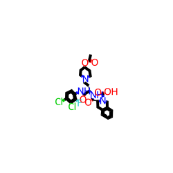 CC(=O)OC1CCN(CC[C@H](NC(=O)[C@@H]2Cc3ccccc3CN2C(=O)O)C(=O)Nc2ccc(Cl)c(Cl)c2F)CC1